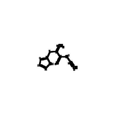 C#COC(=O)C(=C)Cc1ccco1